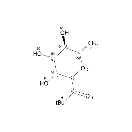 C[C@@H]1O[C](C(=O)C(C)(C)C)[C@H](O)[C@H](O)[C@H]1O